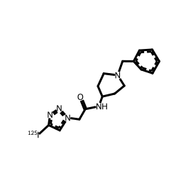 O=C(Cn1cc([125I])nn1)NC1CCN(Cc2ccccc2)CC1